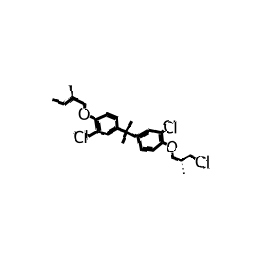 CC[C@@H](C)COc1ccc(C(C)(C)c2ccc(OC[C@@H](C)CCl)c(Cl)c2)cc1Cl